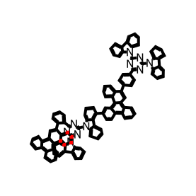 c1ccc(-c2cc3c4ccccc4c4ccccc4c3c3ccccc23)c(-c2nc(-n3c4ccccc4c4ccccc43)nc(-n3c4ccccc4c4c(-c5ccc6c7ccccc7c7cc(-c8ccc(-c9nc(-n%10c%11ccccc%11c%11ccccc%11%10)nc(-n%10c%11ccccc%11c%11ccccc%11%10)n9)cc8)c8ccccc8c7c6c5)cccc43)n2)c1